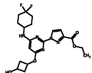 CCOC(=O)c1ccn(-c2nc(NC3CCC(F)(F)CC3)cc(OC3CC(O)C3)n2)n1